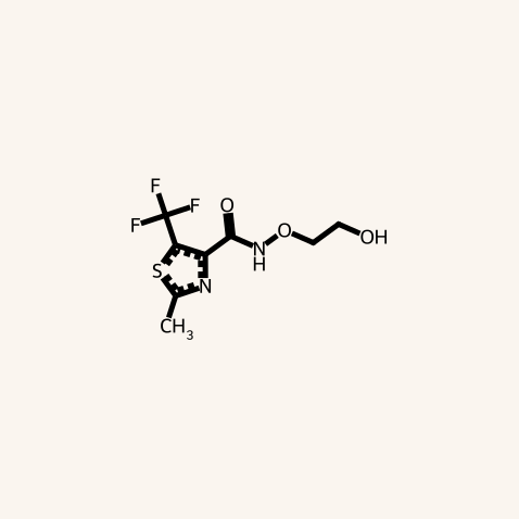 Cc1nc(C(=O)NOCCO)c(C(F)(F)F)s1